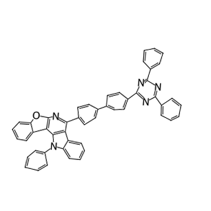 c1ccc(-c2nc(-c3ccccc3)nc(-c3ccc(-c4ccc(-c5nc6oc7ccccc7c6c6c5c5ccccc5n6-c5ccccc5)cc4)cc3)n2)cc1